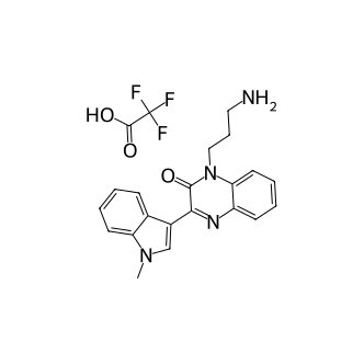 Cn1cc(-c2nc3ccccc3n(CCCN)c2=O)c2ccccc21.O=C(O)C(F)(F)F